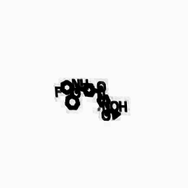 C[C@@H]1CN(C(=O)c2ccc(C3NC4CCC(F)CC4(C4CCCCCC4)O3)cc2)CCN1C(=O)C1(O)CC1